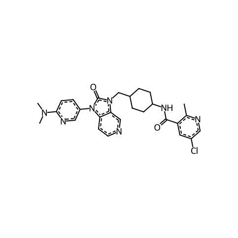 Cc1ncc(Cl)cc1C(=O)NC1CCC(Cn2c(=O)n(-c3ccc(N(C)C)nc3)c3ccncc32)CC1